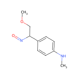 CNc1ccc(C(COC)N=O)cc1